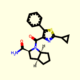 NC(=O)[C@@H]1C[C@@H]2CCC[C@@H]2N1C(=O)c1nc(C2CC2)sc1-c1ccccc1